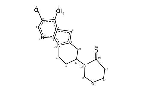 Cc1c(Cl)cnc2c1cc1n2CCC(N2CCCCC2=O)C1